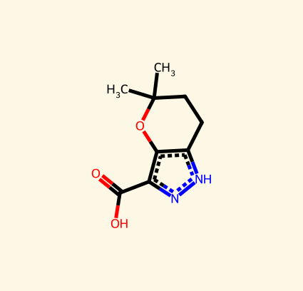 CC1(C)CCc2[nH]nc(C(=O)O)c2O1